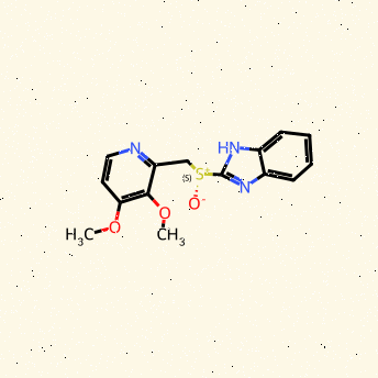 COc1ccnc(C[S@@+]([O-])c2nc3ccccc3[nH]2)c1OC